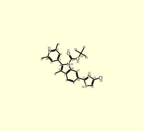 Cc1cc(-c2c(C)c3ccc(-c4nc(Cl)cs4)cc3n2C(=O)OC(C)(C)C)cc(C)n1